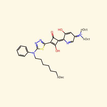 CCCCCCCCCCCCCCCCN(c1ccccc1)c1nnc(C2=C(O)/C(=C3\N=CC(=[N+](CCCCCCCC)CCCCCCCC)C=C3O)C2=O)s1